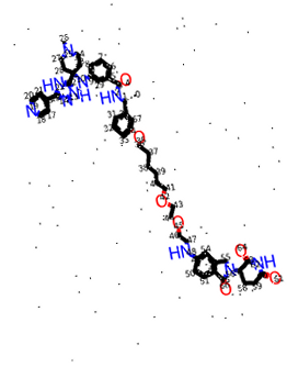 C[C@@H](NC(=O)c1cccc(NC2(c3nnc(-c4ccncc4)[nH]3)CCN(C)CC2)c1)c1cccc(OCCCCCCOCCOCCNc2ccc3c(c2)CN(C2CCC(=O)NC2=O)C3=O)c1